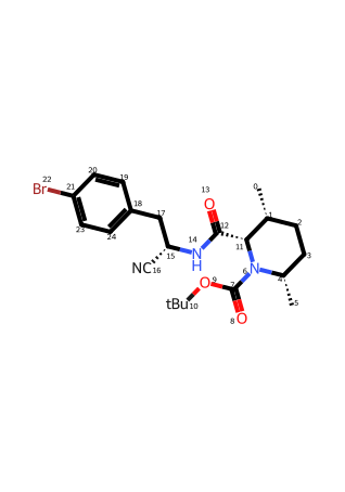 C[C@@H]1CC[C@H](C)N(C(=O)OC(C)(C)C)[C@@H]1C(=O)N[C@H](C#N)Cc1ccc(Br)cc1